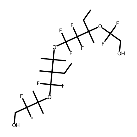 CCC(C)(OC(F)(F)CO)C(F)(F)C(F)(F)OC(C)(C)C(C)(CC)C(F)(F)OC(C)(C)C(F)(F)CO